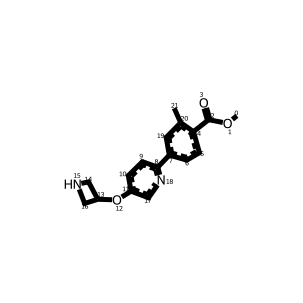 COC(=O)c1ccc(-c2ccc(OC3CNC3)cn2)cc1C